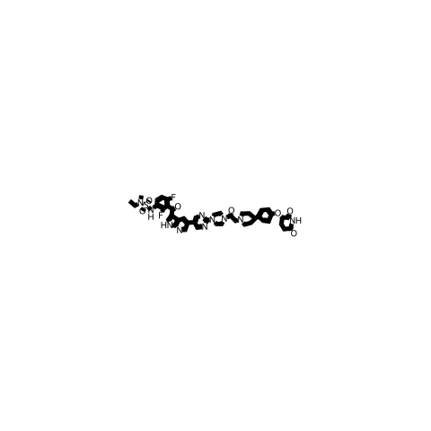 CCN(C)S(=O)(=O)Nc1ccc(F)c(C(=O)c2c[nH]c3ncc(-c4cnc(N5CCN(C(=O)CN6CCC(c7ccc(OC8CCC(=O)NC8=O)cc7)CC6)CC5)nc4)cc23)c1F